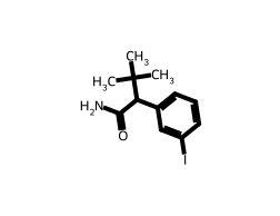 CC(C)(C)C(C(N)=O)c1cccc(I)c1